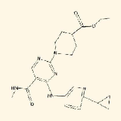 CCOC(=O)C1CCN(c2ncc(C(=O)NC)c(Nc3ccc(C4CC4)nc3)n2)CC1